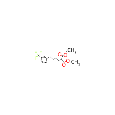 CCOC(=O)C(CCCCc1cccc(C(F)(F)F)c1)C(=O)OCC